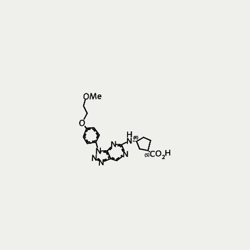 COCCOc1ccc(-n2nnc3cnc(N[C@@H]4CC[C@H](C(=O)O)C4)nc32)cc1